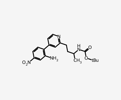 CC(CCc1cc(-c2ccc([N+](=O)[O-])cc2N)ccn1)NC(=O)OC(C)(C)C